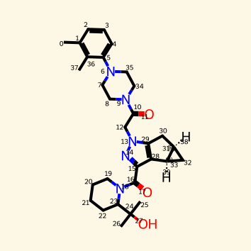 Cc1cccc(N2CCN(C(=O)Cn3nc(C(=O)N4CCCCC4C(C)(C)O)c4c3C[C@H]3C[C@@H]43)CC2)c1C